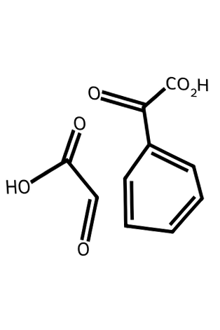 O=C(O)C(=O)c1ccccc1.O=CC(=O)O